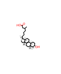 CC(CCC[C@@H](C)[C@H]1CC[C@H]2C3=C(CC[C@]12C)[C@@]1(C)CC[C@H](O)[C@H](C)[C@@H]1CC3)CC(=O)O